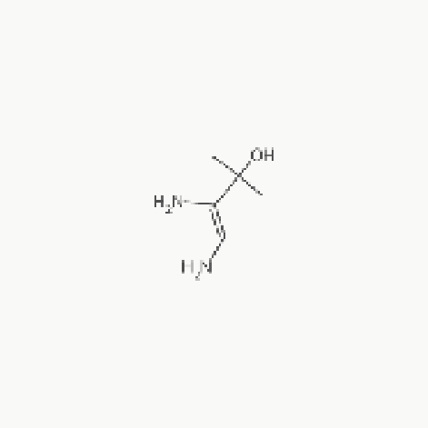 CC(C)(O)/C(N)=C/N